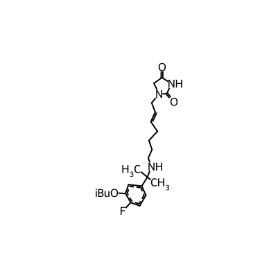 CC(C)COc1cc(C(C)(C)NCCCC/C=C/CN2CC(=O)NC2=O)ccc1F